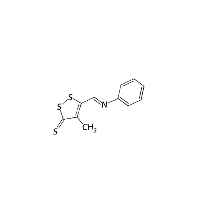 Cc1c(/C=N/c2ccccc2)ssc1=S